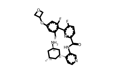 C[C@@H]1C[C@@H](N)C[C@H](c2ccncc2NC(=O)c2ccc(F)c(-c3c(F)cc(OC4COC4)cc3F)n2)C1